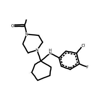 CC(=O)N1CCN(C2(Nc3ccc(F)c(Cl)c3)C[CH]CCC2)CC1